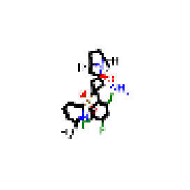 Cc1cccc(S(=O)(=O)CCC(=O)N2[C@@H]3CC[C@H]2C[C@H]([C@H](N)Cc2cc(F)c(F)cc2F)C3)n1